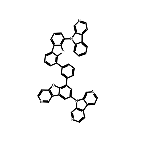 c1cc(-c2cc(-n3c4cnccc4c4ccncc43)cc3c2oc2ccncc23)cc(-c2cccc3c2oc2c(-n4c5ccccc5c5ccncc54)cccc23)c1